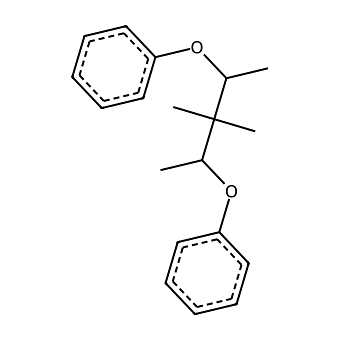 CC(Oc1ccccc1)C(C)(C)C(C)Oc1ccccc1